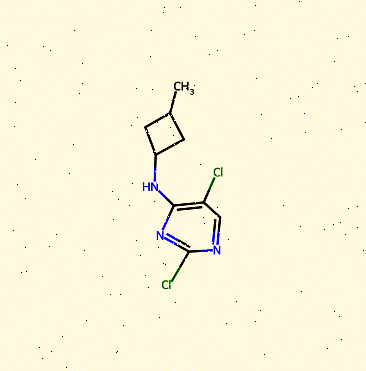 CC1CC(Nc2nc(Cl)ncc2Cl)C1